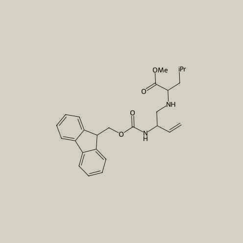 C=CC(CNC(CC(C)C)C(=O)OC)NC(=O)OCC1c2ccccc2-c2ccccc21